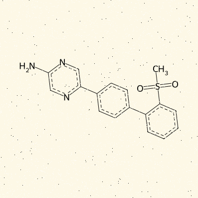 CS(=O)(=O)c1ccccc1-c1ccc(-c2cnc(N)cn2)cc1